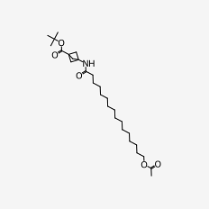 CC(=O)OCCCCCCCCCCCCCCCC(=O)NC12CC(C(=O)OC(C)(C)C)(C1)C2